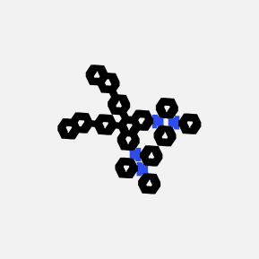 c1ccc(N2c3ccccc3N(c3ccc4c(-c5ccc(-c6ccc7ccccc7c6)cc5)c(-c5ccc(-c6ccc7ccccc7c6)cc5)c5ccc(N6c7ccccc7N(c7ccccc7)c7ccccc76)cc5c4c3)c3ccccc32)cc1